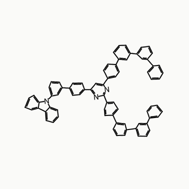 c1ccc(-c2cccc(-c3cccc(-c4ccc(-c5cc(-c6ccc(-c7cccc(-n8c9ccccc9c9ccccc98)c7)cc6)nc(-c6ccc(-c7cccc(-c8cccc(-c9ccccc9)c8)c7)cc6)n5)cc4)c3)c2)cc1